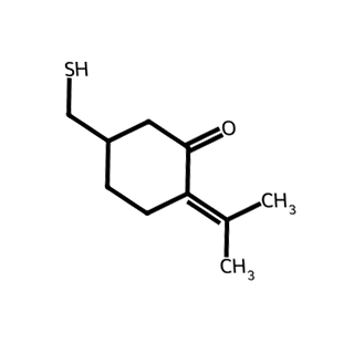 CC(C)=C1CCC(CS)CC1=O